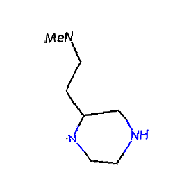 CNCCC1CNCC[N]1